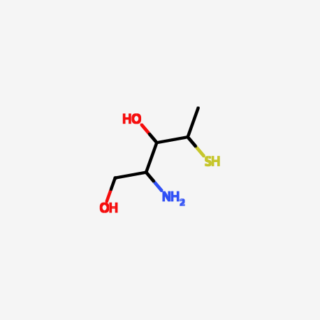 CC(S)C(O)C(N)CO